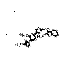 COc1nc(-c2csc(Nc3c4c(nn3C)CCCC4)n2)ccc1-n1cnc(C)c1